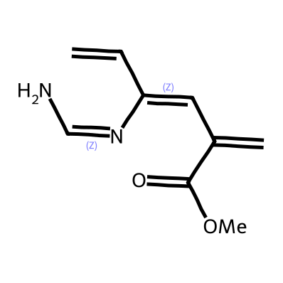 C=CC(=C/C(=C)C(=O)OC)/N=C\N